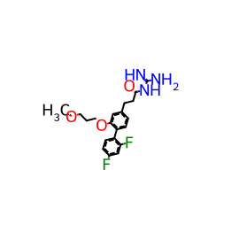 COCCCOc1cc(CCC(=O)NC(=N)N)ccc1-c1ccc(F)cc1F